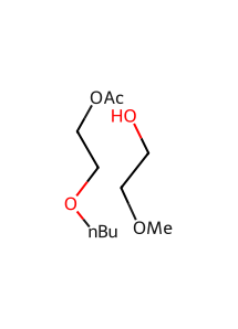 CCCCOCCOC(C)=O.COCCO